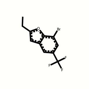 CCc1cc2cc(C(F)(F)F)cc(Br)c2o1